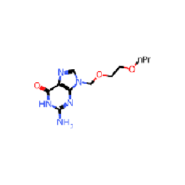 CCCOCCOCn1cnc2c(=O)[nH]c(N)nc21